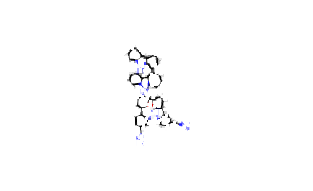 N#Cc1ccc(-c2ccc(-n3c4ccccc4c4c(-n5c6ccccc6c6ccccc65)cccc43)cc2)c(-n2c3ccccc3c3cc(C#N)ccc32)c1